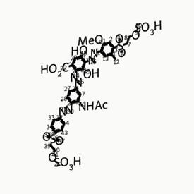 COc1cc(S(=O)(=O)CCOS(=O)(=O)O)c(C)cc1N=Nc1c(O)cc(C(=O)O)c(N=Nc2ccc(N=Nc3ccc(S(=O)(=O)CCOS(=O)(=O)O)cc3)c(NC(C)=O)c2)c1O